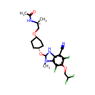 CC(=O)N[C@@H](C)CO[C@H]1CC[C@H](OC2Nc3c(C#N)c(F)c(OCC(F)F)c(F)c3N2C)CC1